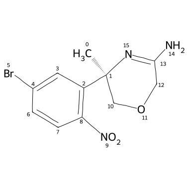 C[C@@]1(c2cc(Br)ccc2[N+](=O)[O-])COCC(N)=N1